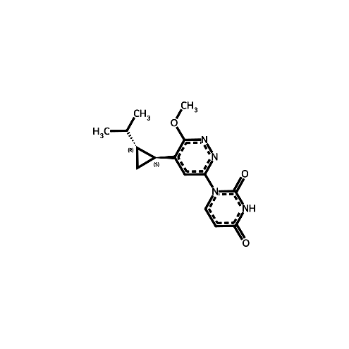 COc1nnc(-n2ccc(=O)[nH]c2=O)cc1[C@H]1C[C@@H]1C(C)C